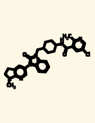 Cc1ncc(Cl)cc1C(=O)NC1CCC(Cn2c(=O)n(-c3cnc4c(c3)CCN4C)c3ccccc32)CC1